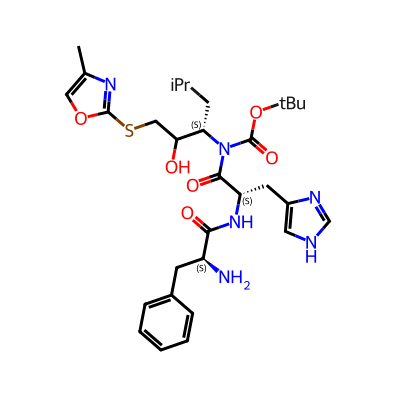 Cc1coc(SCC(O)[C@H](CC(C)C)N(C(=O)OC(C)(C)C)C(=O)[C@H](Cc2c[nH]cn2)NC(=O)[C@@H](N)Cc2ccccc2)n1